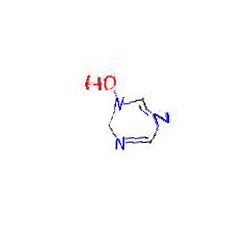 ON1C=NC=NC1